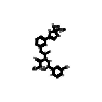 C[C@H](Cc1cccc(C2=COC(C(=O)O)(C(=O)O)O2)c1)N(C[C@@H](O)c1cccc(Cl)c1)C(=O)OC(C)(C)C